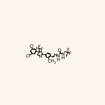 Cc1cc(C2=NCC(c3cc(Cl)cc(Cl)c3)(C(F)(F)F)C2)ccc1C=NNC(=O)NCC(F)(F)F